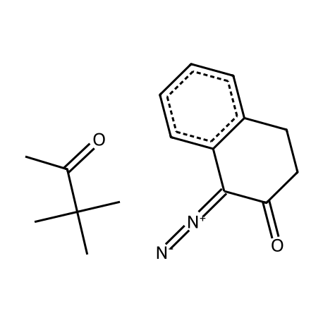 CC(=O)C(C)(C)C.[N-]=[N+]=C1C(=O)CCc2ccccc21